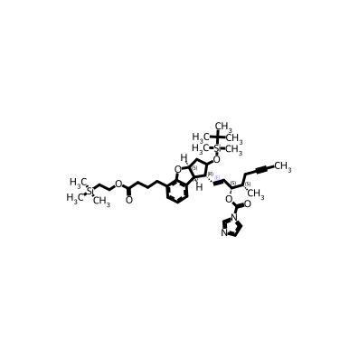 CC#CC[C@H](C)[C@@H](/C=C/[C@H]1C(O[Si](C)(C)C(C)(C)C)C[C@@H]2Oc3c(CCCC(=O)OCC[Si](C)(C)C)cccc3[C@@H]21)OC(=O)n1ccnc1